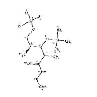 CC[Si](CC)(CC)OC[C@H](C)C(O[Si](C)(C)C(C)(C)C)C(C)C(=O)NCOC